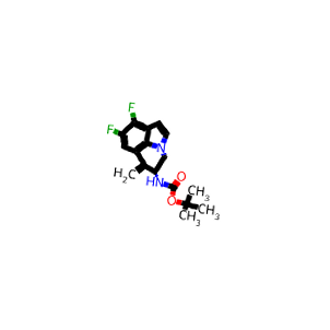 C=C1c2cc(F)c(F)c3ccn(c23)C[C@H]1NC(=O)OC(C)(C)C